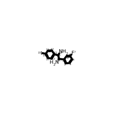 N[C](c1cccc(F)c1)C(N)c1ccc(I)cc1